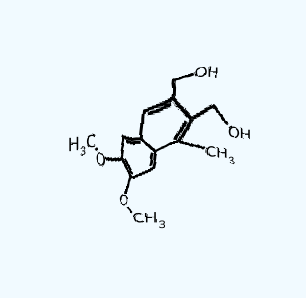 COc1cc2cc(CO)c(CO)c(C)c2cc1OC